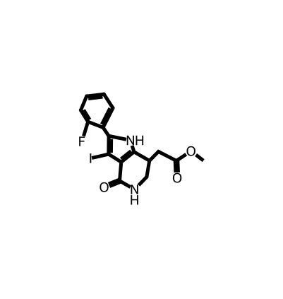 COC(=O)CC1CNC(=O)c2c1[nH]c(-c1ccccc1F)c2I